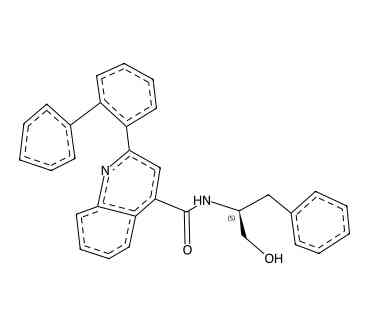 O=C(N[C@H](CO)Cc1ccccc1)c1cc(-c2ccccc2-c2ccccc2)nc2ccccc12